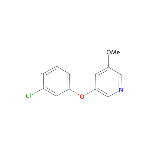 COc1cncc(Oc2cc[c]c(Cl)c2)c1